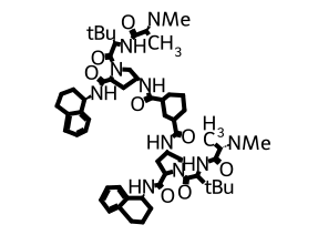 CN[C@@H](C)C(=O)NC(C(=O)N1C[C@@H](NC(=O)C2CCCC(C(=O)N[C@H]3CC(C(=O)N[C@@H]4CCCc5ccccc54)N(C(=O)[C@@H](NC(=O)[C@H](C)NC)C(C)(C)C)C3)C2)CC1C(=O)N[C@@H]1CCCc2ccccc21)C(C)(C)C